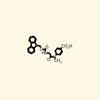 CN(C(=O)CNC(=O)OCC1c2ccccc2-c2ccccc21)C1C=CC(C(=O)O)=CC1